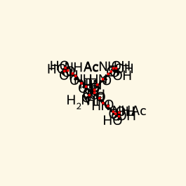 CC(=O)NC1C(O)[C@@H](O)C(CO)O[C@H]1OCCCCC(=O)NCCCNCOOCC(COCCC(=O)NCCCNC(=O)CCCCO[C@@H]1OC(CO)[C@H](O)C(O)C1NC(C)=O)(COCCC(=O)NCCCNC(=O)CCCCO[C@@H]1OC(CO)[C@H](O)C(O)C1NC(C)=O)NC(=O)CON